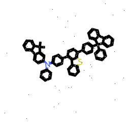 CC1(C)c2ccccc2-c2ccc(N(c3ccccc3)c3ccc(-c4ccc(-c5ccc(C6(c7ccccc7)c7ccccc7-c7ccccc76)cc5)c5sc6ccccc6c45)cc3)cc21